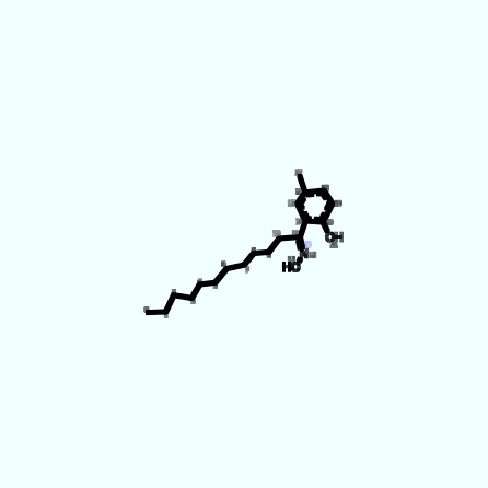 CCCCCCCCCCC/C(=N\O)c1cc(C)ccc1O